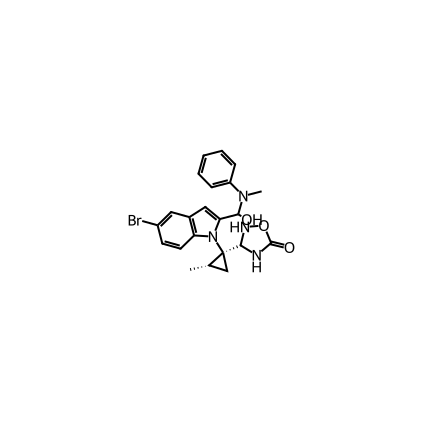 C[C@H]1C[C@]1(C1NOC(=O)N1)n1c(C(O)N(C)c2ccccc2)cc2cc(Br)ccc21